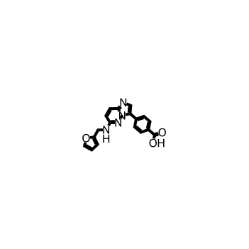 O=C(O)c1ccc(-c2cnc3ccc(NCc4ccco4)nn23)cc1